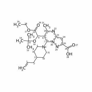 C=CCC1CCN(c2c(C(OC(C)(C)C)C(=O)OCC)c(C)nc3cc(C(=O)O)nn23)CC1